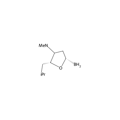 B[C@H]1CC(NC)[C@@H](CC(C)C)O1